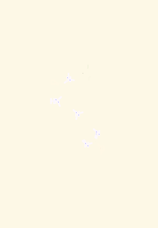 CCOc1ncc2c(n1)CCN(C1CN[C@H](C(=O)N3CCC(F)(F)C3)C1)C2